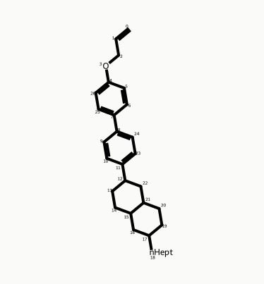 C=CCOc1ccc(-c2ccc(C3CCC4CC(CCCCCCC)CCC4C3)cc2)cc1